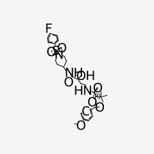 COc1ccc(C2OCC(C)(C)[C@H](C(=O)NCCC(O)C(=O)NCC3CCN(S(=O)(=O)c4ccc(F)cc4)CC3)O2)cc1